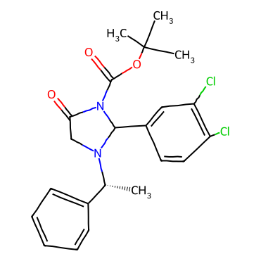 C[C@H](c1ccccc1)N1CC(=O)N(C(=O)OC(C)(C)C)C1c1ccc(Cl)c(Cl)c1